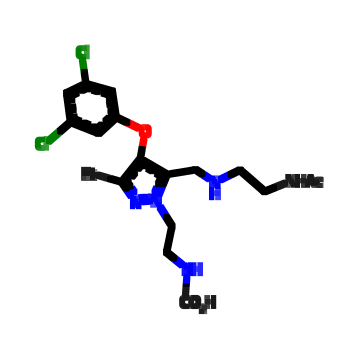 CCc1nn(CCNC(=O)O)c(CNCCNC(C)=O)c1Oc1cc(Cl)cc(Cl)c1